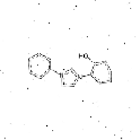 Oc1ccccc1-n1cc[n+](-c2ccccc2)c1